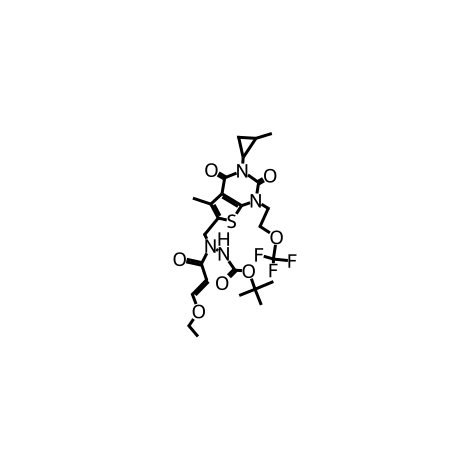 CCO/C=C/C(=O)N(Cc1sc2c(c1C)c(=O)n(C1CC1C)c(=O)n2CCOC(F)(F)F)NC(=O)OC(C)(C)C